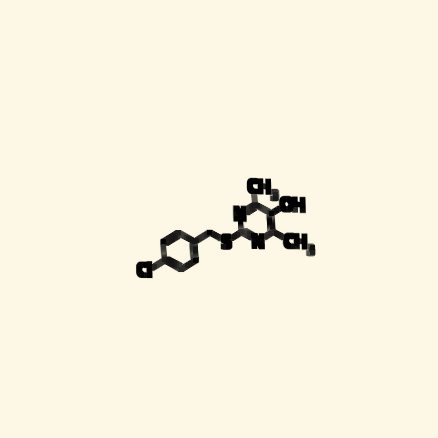 Cc1nc(SCc2ccc(Cl)cc2)nc(C)c1O